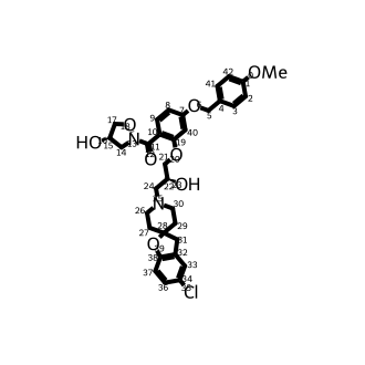 COc1ccc(COc2ccc(C(=O)N3C[C@@H](O)CO3)c(OC[C@@H](O)CN3CCC4(CC3)Cc3cc(Cl)ccc3O4)c2)cc1